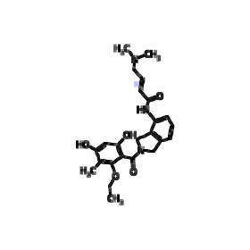 CCOc1c(C)c(O)cc(O)c1C(=O)N1Cc2cccc(NC(=O)/C=C/CN(C)C)c2C1